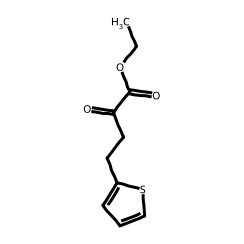 CCOC(=O)C(=O)CCc1cccs1